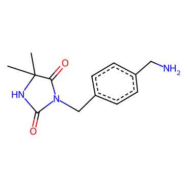 CC1(C)NC(=O)N(Cc2ccc(CN)cc2)C1=O